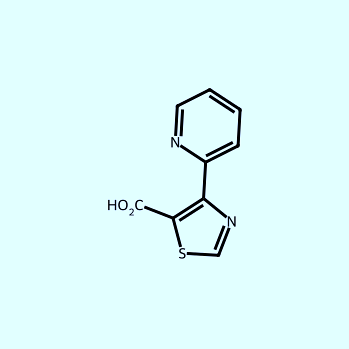 O=C(O)c1scnc1-c1ccccn1